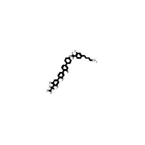 CCCCCc1ccc(C(F)(F)OC2CCC(c3ccc(-c4ccc(-c5cc(F)c(C(F)(F)C(F)F)c(F)c5)c(F)c4)c(F)c3)CC2)c(F)c1